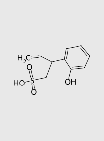 C=CC(CS(=O)(=O)O)c1ccccc1O